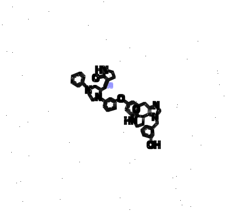 O=C1NCC/C1=C/C1CN(c2ccccc2)CCN1c1cccc(Oc2cccc(Cc3ncn(Cc4cccc(O)c4)c3C3CCNC3=O)c2)c1